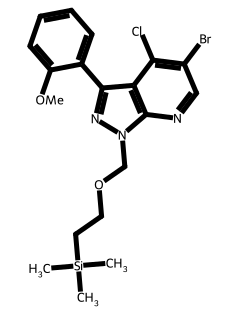 COc1ccccc1-c1nn(COCC[Si](C)(C)C)c2ncc(Br)c(Cl)c12